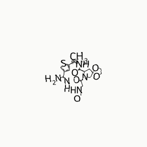 C[C@@H](NC(=O)C1CC2(CN1C(=O)CNC=O)OCCO2)c1cc(C(=N)N)cs1